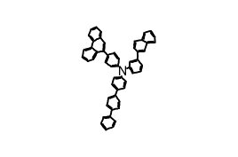 c1ccc(-c2ccc(-c3ccc(N(c4ccc(-c5cc6ccccc6c6ccccc56)cc4)c4cccc(-c5ccc6ccccc6c5)c4)cc3)cc2)cc1